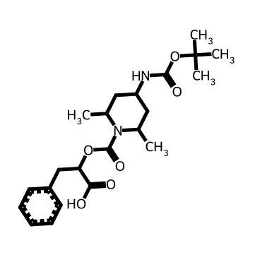 CC1CC(NC(=O)OC(C)(C)C)CC(C)N1C(=O)OC(Cc1ccccc1)C(=O)O